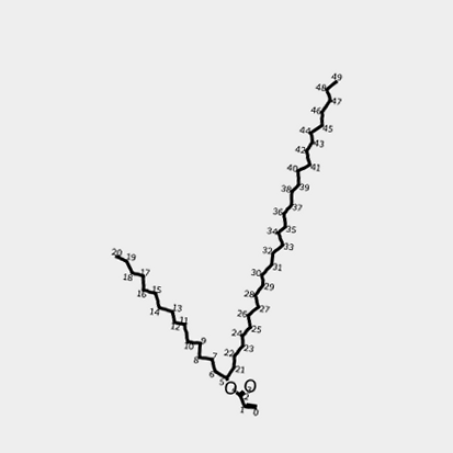 C=CC(=O)OC(CCCCCCCCCCCCCCC)CCCCCCCCCCCCCCCCCCCCCCCCCCCCC